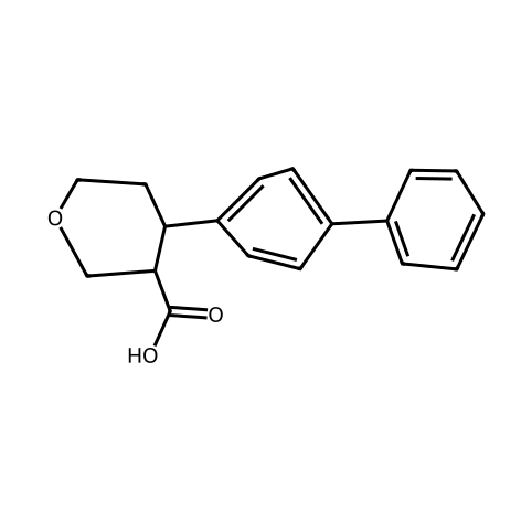 O=C(O)C1COCCC1c1ccc(-c2ccccc2)cc1